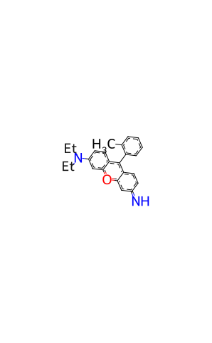 CCN(CC)c1ccc2c(-c3ccccc3C)c3ccc(=N)cc-3oc2c1